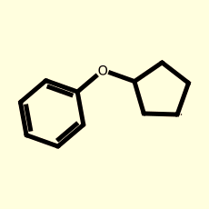 [CH]1CCC(Oc2ccccc2)C1